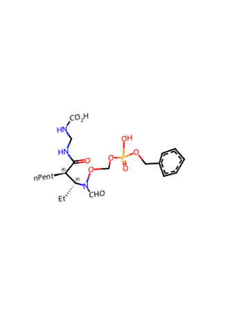 CCCCC[C@@H](C(=O)NCNC(=O)O)[C@@H](CC)N(C=O)OCOP(=O)(O)OCc1ccccc1